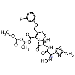 CCOC(=O)OC(C)OC(=O)C1=C(COc2cccc(F)c2)CS[C@@H]2C(NC(=O)/C(=N\O)c3csc(N)n3)C(=O)N12